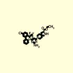 CCOC(=O)[C@@H]1CC2(CCN(c3cc(OC(c4ccc(Cl)cc4-c4ccccc4)C(F)(F)F)nc(N)n3)CC2)CN1